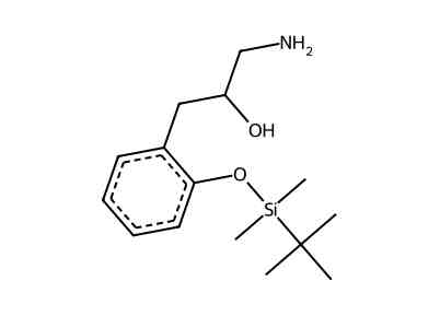 CC(C)(C)[Si](C)(C)Oc1ccccc1CC(O)CN